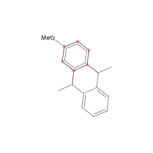 COc1ccc2c(c1)C1(C)c3ccccc3C2(C)c2ccccc21